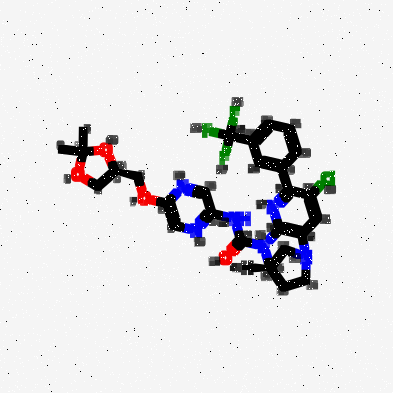 CC1(C)OC[C@H](COc2cnc(NC(=O)N3c4nc(-c5cccc(C(F)(F)F)c5)c(Cl)cc4N4CC[C@H]3C4)cn2)O1